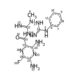 CN(NC(=N)Nc1ccccc1)C(=N)NC(=O)c1nc(F)c(N)nc1N